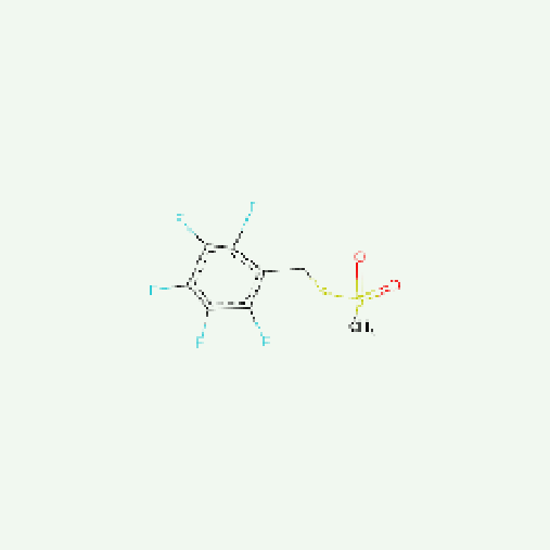 CS(=O)(=O)SCc1c(F)c(F)c(F)c(F)c1F